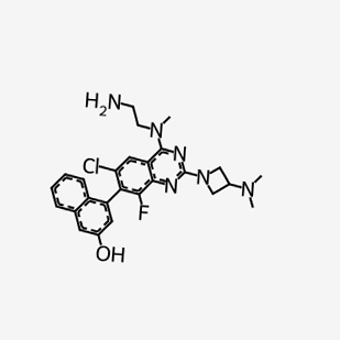 CN(CCN)c1nc(N2CC(N(C)C)C2)nc2c(F)c(-c3cc(O)cc4ccccc34)c(Cl)cc12